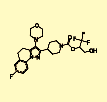 O=C(OC(CO)C(F)(F)F)N1CCC(c2nn3c(c2N2CCOCC2)CCc2cc(F)ccc2-3)CC1